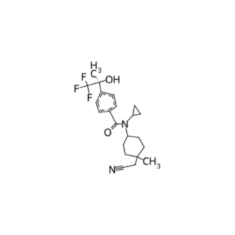 CC1(CC#N)CCC(N(C(=O)c2ccc([C@](C)(O)C(F)(F)F)cc2)C2CC2)CC1